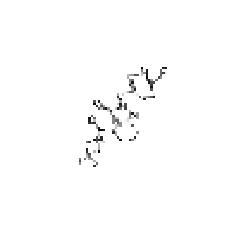 O=C(C1CCCc2nn(Cc3ccc(F)nc3)c(=O)n21)N1CC(F)(F)C1